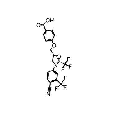 N#Cc1ccc(N2C[C@@H](COc3ccc(C(=O)O)cc3)O[C@@H]2C(F)(F)F)cc1C(F)(F)F